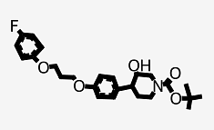 CC(C)(C)OC(=O)N1CCC(c2ccc(OCCCOc3ccc(F)cc3)cc2)C(O)C1